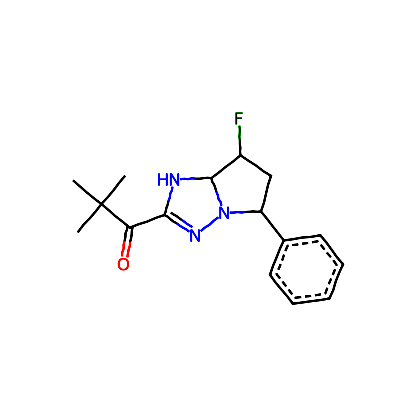 CC(C)(C)C(=O)C1=NN2C(c3ccccc3)CC(F)C2N1